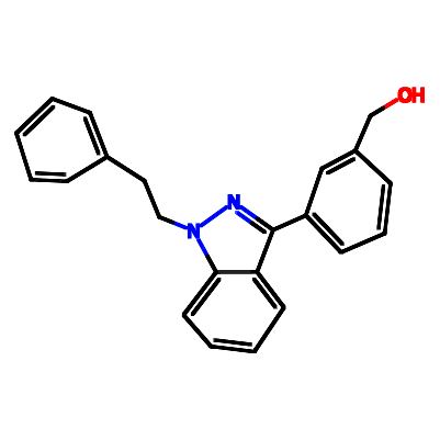 OCc1cccc(-c2nn(CCc3ccccc3)c3ccccc23)c1